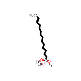 CCCCCCCCC=CCCCCCCCCCCC[Si](OCC)(OCC)OCC